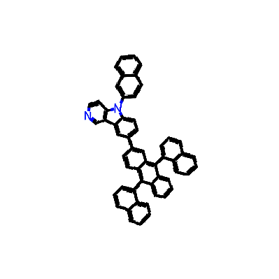 c1ccc2cc(-n3c4ccncc4c4cc(-c5ccc6c(-c7cccc8ccccc78)c7ccccc7c(-c7cccc8ccccc78)c6c5)ccc43)ccc2c1